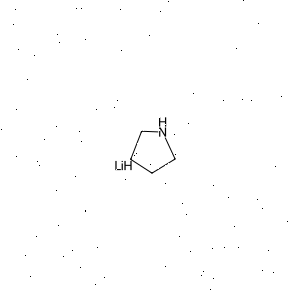 C1CCNC1.[LiH]